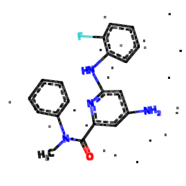 CN(C(=O)c1cc(N)cc(Nc2ccccc2F)n1)c1ccccc1